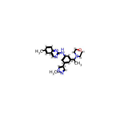 Cc1ccc2nc(Nc3cc(-c4cnn(C)c4)cc(C(C)N4CCOCC4)c3)ncc2c1